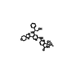 CC1(C)NC(=O)c2ccc(Nc3cc(N[C@H](CO)c4ccccc4)c(C4=NC5(CCOCC5)CO4)cn3)nc21